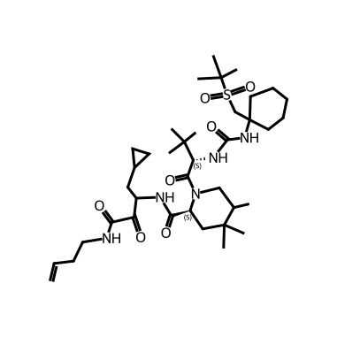 C=CCCNC(=O)C(=O)C(CC1CC1)NC(=O)[C@@H]1CC(C)(C)C(C)CN1C(=O)[C@@H](NC(=O)NC1(CS(=O)(=O)C(C)(C)C)CCCCC1)C(C)(C)C